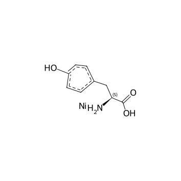 N[C@@H](Cc1ccc(O)cc1)C(=O)O.[Ni]